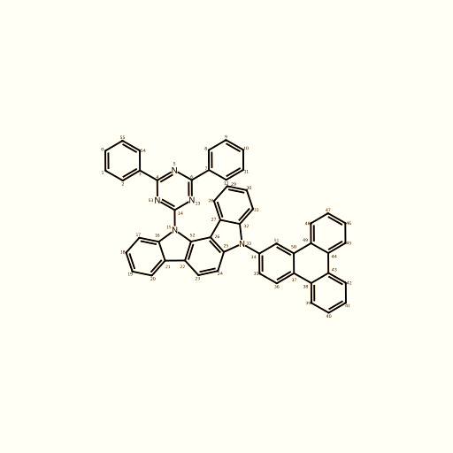 c1ccc(-c2nc(-c3ccccc3)nc(-n3c4ccccc4c4ccc5c(c6ccccc6n5-c5ccc6c7ccccc7c7ccccc7c6c5)c43)n2)cc1